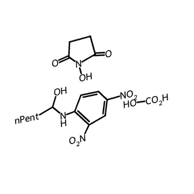 CCCCCC(O)Nc1ccc([N+](=O)[O-])cc1[N+](=O)[O-].O=C(O)O.O=C1CCC(=O)N1O